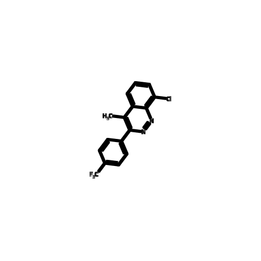 Cc1c(-c2ccc(C(F)(F)F)cc2)nnc2c(Cl)cccc12